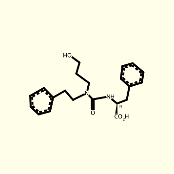 O=C(O)[C@H](Cc1ccccc1)NC(=O)N(CCCO)CCc1ccccc1